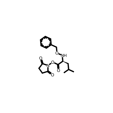 CC(C)C[C@H](NOCc1ccccc1)C(=O)ON1C(=O)CCC1=O